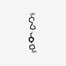 CCC[C@H]1CC[C@H](c2ccc(CC[C@H]3CC[C@H]([C@H]4CC[C@H](CCC)CC4)CC3)cc2)CC1